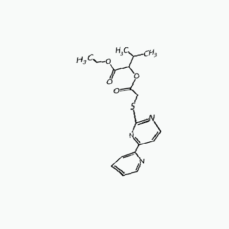 CCOC(=O)C(OC(=O)CSc1nccc(-c2ccccn2)n1)C(C)C